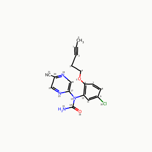 CC#CCCOc1ccc(Cl)cc1N(C(N)=O)c1cnc(C#N)cn1